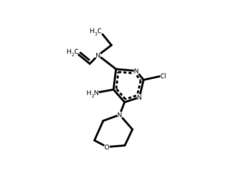 C=CN(CC)c1nc(Cl)nc(N2CCOCC2)c1N